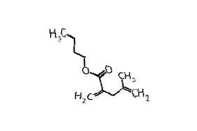 C=C(C)CC(=C)C(=O)OCCCC